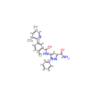 NC(=O)c1cc(NC(=O)c2cc(-c3ncc(F)cc3Cl)ccc2Cl)n(-c2ccccc2)n1